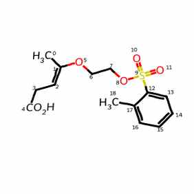 CC(=CCC(=O)O)OCCOS(=O)(=O)c1ccccc1C